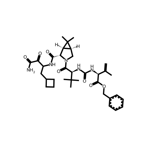 C=C(C)[C@H](NC(=O)N[C@H](C(=O)N1C[C@H]2[C@@H]([C@H]1C(=O)NC(CC1CCC1)C(=O)C(N)=O)C2(C)C)C(C)(C)C)C(=O)OCc1ccccc1